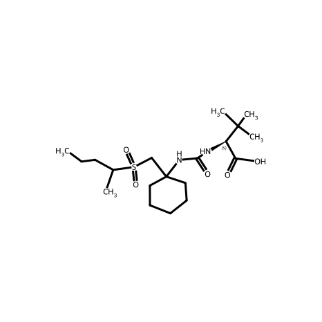 CCCC(C)S(=O)(=O)CC1(NC(=O)N[C@H](C(=O)O)C(C)(C)C)CCCCC1